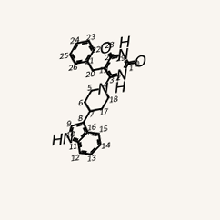 O=c1[nH]c(N2CCC(c3c[nH]c4ccccc34)CC2)c(Cc2ccccc2)c(=O)[nH]1